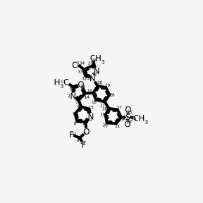 Cc1nc(-c2ccc(OC(F)F)nc2)c(-c2cc(-c3cccc(S(C)(=O)=O)c3)ccc2-n2cc(Cl)c(C)n2)o1